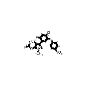 Cn1nc(-c2cc(Oc3ccc([N+](=O)[O-])cc3)c(Cl)cc2F)c(Cl)c1OC(F)F